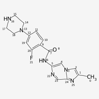 Cc1cn2cc(NC(=O)c3ccc(N4CCNCC4)cc3F)ncc2n1